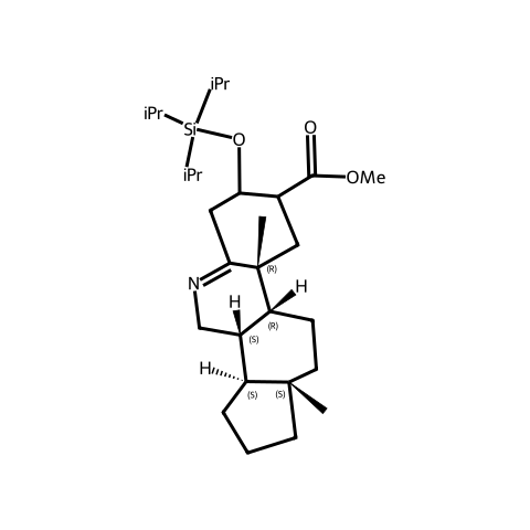 COC(=O)C1C[C@@]2(C)C(=NC[C@@H]3[C@H]2CC[C@]2(C)CCC[C@@H]32)CC1O[Si](C(C)C)(C(C)C)C(C)C